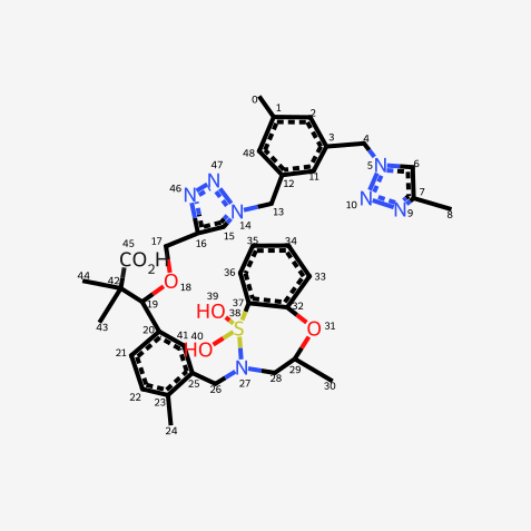 Cc1cc(Cn2cc(C)nn2)cc(Cn2cc(COC(c3ccc(C)c(CN4CC(C)Oc5ccccc5S4(O)O)c3)C(C)(C)C(=O)O)nn2)c1